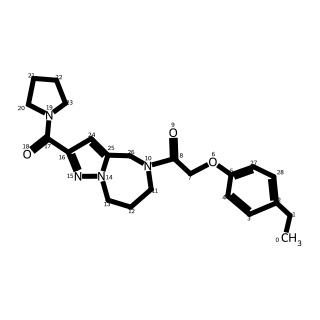 CCc1ccc(OCC(=O)N2CCCn3nc(C(=O)N4CCCC4)cc3C2)cc1